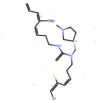 C=C/C=C(\C=C/CCNC(=C)N(CC/C=C\C(F)=C/CC)C[C@H]1CCN(C)C1)OCC(C)C